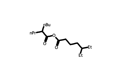 CCCCC(CCC)C(=O)OC(=O)CCCC(CC)CC